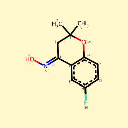 CC1(C)C/C(=N\O)c2cc(F)ccc2O1